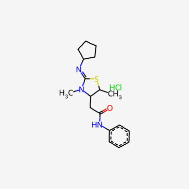 CC1S/C(=N\C2CCCC2)N(C)C1CC(=O)Nc1ccccc1.Cl